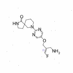 NC/C(=C\F)COc1cnc(N2CCCC3(CCNC3=O)C2)nc1